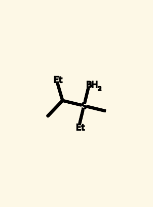 BS(C)(CC)C(C)CC